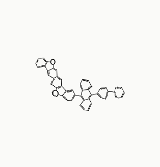 c1ccc(-c2ccc(-c3c4ccccc4c(-c4ccc5oc6cc7cc8c(cc7cc6c5c4)oc4ccccc48)c4ccccc34)cc2)cc1